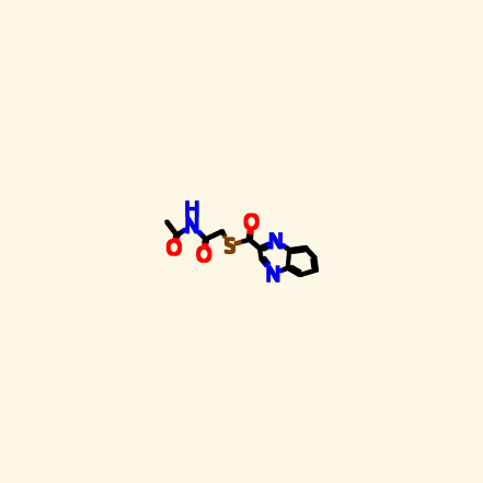 CC(=O)NC(=O)CSC(=O)c1cnc2ccccc2n1